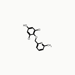 Cc1cccc(COc2c(Cl)cc(O)cc2Cl)n1